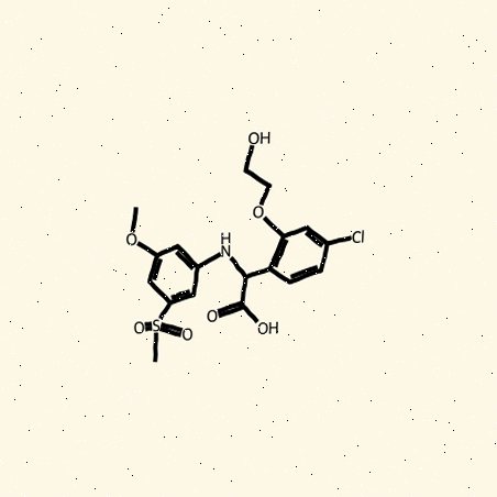 COc1cc(NC(C(=O)O)c2ccc(Cl)cc2OCCO)cc(S(C)(=O)=O)c1